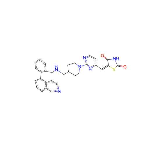 O=C1NC(=O)/C(=C\c2ccnc(N3CCC(CNCc4ccccc4-c4cccc5cnccc45)CC3)n2)S1